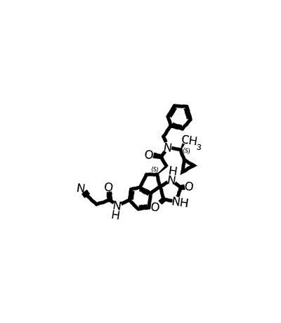 C[C@@H](C1CC1)N(Cc1ccccc1)C(=O)C[C@@H]1Cc2cc(NC(=O)CC#N)ccc2C12NC(=O)NC2=O